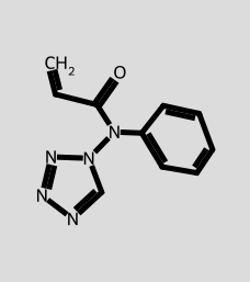 C=CC(=O)N(c1ccccc1)n1cnnn1